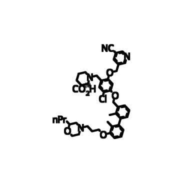 CCCC1CN(CCCOc2cccc(-c3cccc(COc4cc(OCc5cncc(C#N)c5)c(CN5CCCC[C@H]5C(=O)O)cc4Cl)c3C)c2C)CCO1